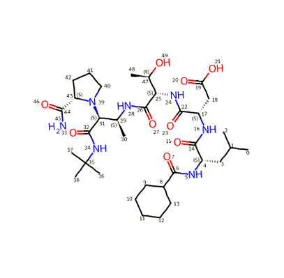 CC(C)C[C@H](NC(=O)C1CCCCC1)C(=O)N[C@@H](CC(=O)O)C(=O)N[C@H](C(=O)N[C@@H](C)[C@@H](C(=O)NC(C)(C)C)N1CCC[C@H]1C(N)=O)[C@@H](C)O